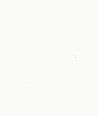 Cc1cc(C2=C=CNC3=C2CC2(CC3)OCCO2)nn1C